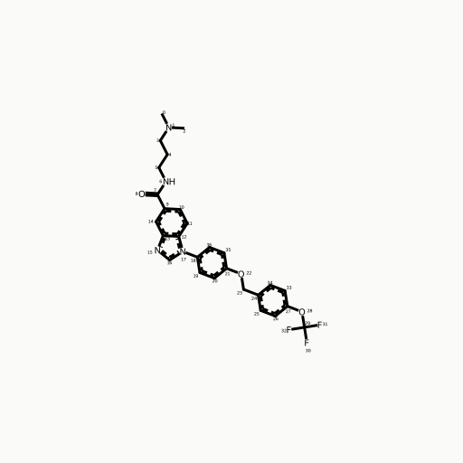 CN(C)CCCNC(=O)c1ccc2c(c1)ncn2-c1ccc(OCc2ccc(OC(F)(F)F)cc2)cc1